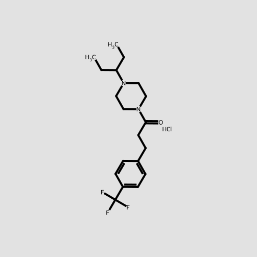 CCC(CC)N1CCN(C(=O)CCc2ccc(C(F)(F)F)cc2)CC1.Cl